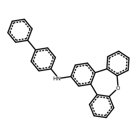 c1ccc(-c2ccc(Nc3ccc4c(c3)-c3ccccc3Oc3ccccc3-4)cc2)cc1